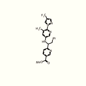 COC(=O)c1ccc(C(CC(C)C)Nc2cnc(-n3cc(C(F)(F)F)cn3)c(C)c2)nc1